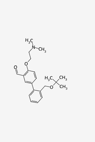 CN(C)CCOc1ccc(-c2ccccc2COC(C)(C)C)cc1C=O